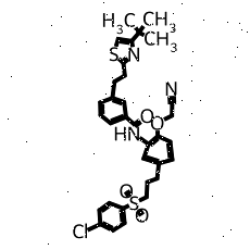 CC(C)(C)c1csc(CCc2cccc(C(=O)Nc3cc(CCCS(=O)(=O)c4ccc(Cl)cc4)ccc3OCC#N)c2)n1